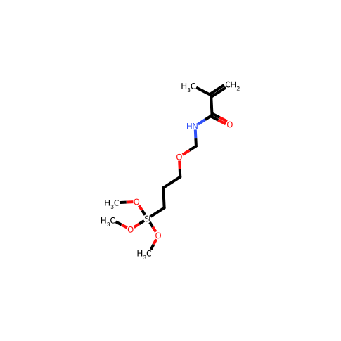 C=C(C)C(=O)NCOCCC[Si](OC)(OC)OC